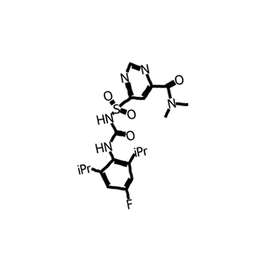 CC(C)c1cc(F)cc(C(C)C)c1NC(=O)NS(=O)(=O)c1cc(C(=O)N(C)C)ncn1